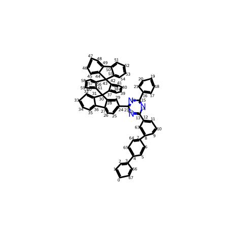 c1ccc(-c2ccc(-c3cccc(-c4nc(-c5ccccc5)nc(-c5ccc6c(c5)C5(c7ccccc7-6)c6ccccc6C6(c7ccccc7-c7ccccc76)c6ccccc65)n4)c3)cc2)cc1